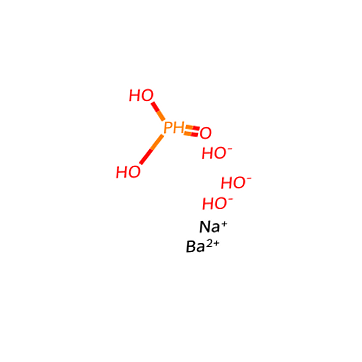 O=[PH](O)O.[Ba+2].[Na+].[OH-].[OH-].[OH-]